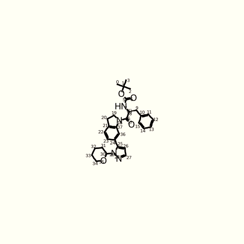 CC(C)(C)OC(=O)N[C@@H](Cc1ccccc1)C(=O)N1CCc2ccc(-c3ccnn3C3CCCCO3)cc21